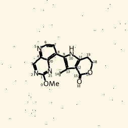 COc1ncc2nccc(-c3[nH]c4c(c3I)C(=O)OCC4)c2n1